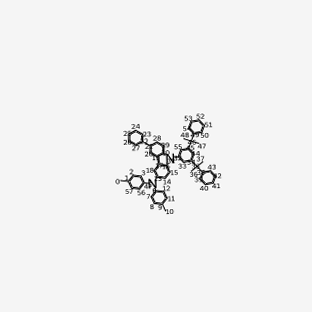 Cc1ccc(N(c2ccc(C)cc2)c2ccc3c(c2)c2cc(-c4ccccc4)ccc2n3-c2cc(C(C)(C)c3ccccc3)cc(C(C)(C)c3ccccc3)c2)cc1